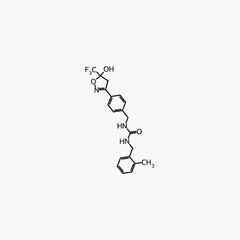 Cc1ccccc1CNC(=O)NCc1ccc(C2=NOC(O)(C(F)(F)F)C2)cc1